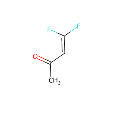 CC(=O)C=C(F)F